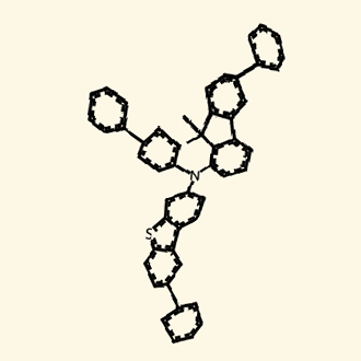 CC1(C)c2ccc(-c3ccccc3)cc2-c2cccc(N(c3ccc(-c4ccccc4)cc3)c3ccc4c(c3)sc3ccc(-c5ccccc5)cc34)c21